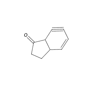 O=C1CCC2C=CC#CC12